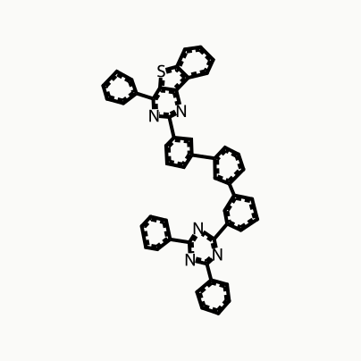 c1ccc(-c2nc(-c3ccccc3)nc(-c3cccc(-c4cccc(-c5cccc(-c6nc(-c7ccccc7)c7sc8ccccc8c7n6)c5)c4)c3)n2)cc1